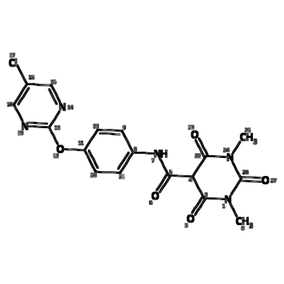 CN1C(=O)C(C(=O)Nc2ccc(Oc3ncc(Cl)cn3)cc2)C(=O)N(C)C1=O